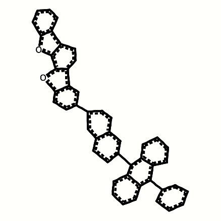 c1ccc(-c2c3ccccc3c(-c3ccc4cc(-c5ccc6oc7c(ccc8c9ccccc9oc87)c6c5)ccc4c3)c3ccccc23)cc1